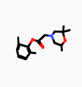 Cc1cccc(C)c1OC(=O)CN1CC(C)OC(C)(C)C1